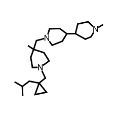 CC(C)CC1(CN2CCC(C)(CN3CCC(C4CCN(C)CC4)CC3)CC2)CC1